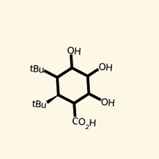 CC(C)(C)C1C(O)C(O)C(O)C(C(=O)O)[C@H]1C(C)(C)C